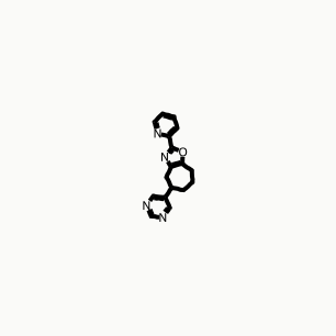 c1ccc(-c2nc3c(o2)CCCC(c2cncnc2)C3)nc1